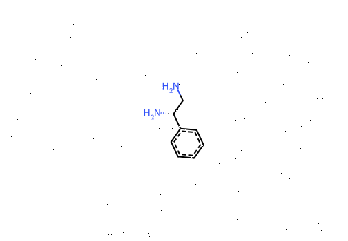 NC[C@@H](N)c1ccccc1